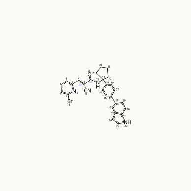 N#C/C(=C\c1cccc(Br)n1)C(=O)NC1(c2ccc(-c3ccc4[nH]ccc4c3)cc2)CCCC1